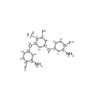 Nc1cc(Oc2cc(F)c(C(F)(F)F)c(Oc3ccc(F)c(N)c3)c2)ccc1F